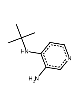 CC(C)(C)Nc1ccncc1N